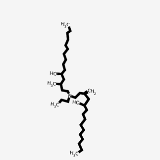 C=C(CCN(CCC)CCC(C)CC(O)CCCCCCCCCC)CC(O)CCCCCCCCCC